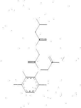 COC(=O)CN(C(=O)CSC(=O)CC(C)C)c1c(C)ccc(Cl)c1C